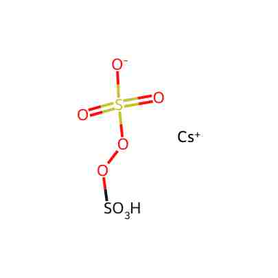 O=S(=O)([O-])OOS(=O)(=O)O.[Cs+]